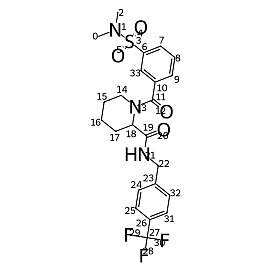 CN(C)S(=O)(=O)c1cccc(C(=O)N2CCCCC2C(=O)NCc2ccc(C(F)(F)F)cc2)c1